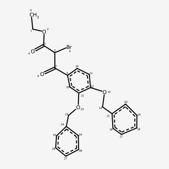 CCOC(=O)C(Br)C(=O)c1ccc(OCc2ccccc2)c(OCc2ccccc2)c1